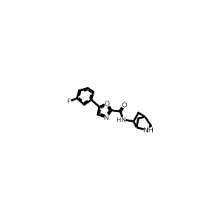 O=C(NC1CC2CNC1C2)c1ncc(-c2cccc(F)c2)o1